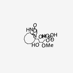 COC(COP(=O)(O)O)C(O)C(O)C12CCCCCCCC3(CCC1)NC(=O)C=CN2C3=O